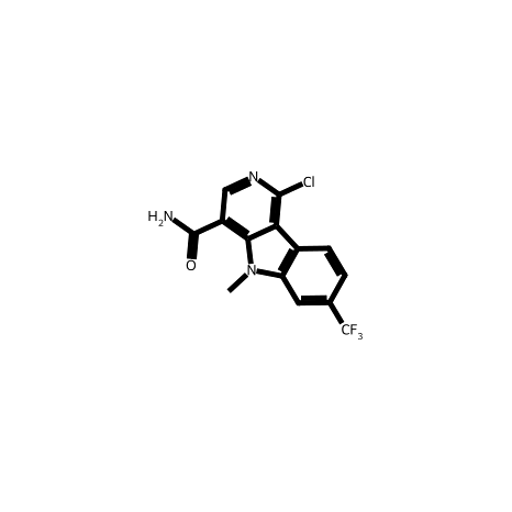 Cn1c2cc(C(F)(F)F)ccc2c2c(Cl)ncc(C(N)=O)c21